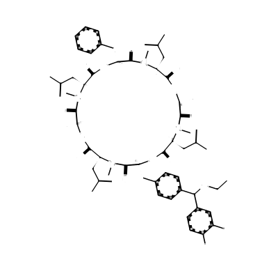 CCOC(c1ccc(C[C@H]2OC(=O)[C@H](CC(C)C)N(C)C(=O)[C@@H](C)OC(=O)[C@H](CC(C)C)N(C)C(=O)[C@@H](Cc3ccccc3)OC(=O)[C@H](CC(C)C)N(C)C(=O)[C@@H](C)OC(=O)[C@H](CC(C)C)N(C)C2=O)cc1)c1ccc(F)c(F)c1